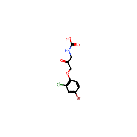 O=C(CNC(=O)O)COc1ccc(Br)cc1Cl